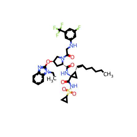 CCCCC/C=C\[C@@H]1C[C@]1(NC(=O)[C@@H]1C[C@@H](Oc2nc3ccccc3n2CC)CN1C(=O)CNc1cc(F)cc(C(F)(F)F)c1)C(=O)NS(=O)(=O)C1CC1